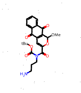 COC1OC(C(=O)N(CCCN)C(=O)OC(C)(C)C)=CC2=C1C(=O)c1ccccc1C2=O